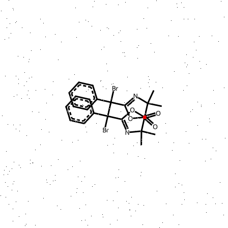 CC1(C)N=C(C(Br)(c2ccccc2)C(Br)(C2=NC(C)(C)C(=O)O2)c2ccccc2)OC1=O